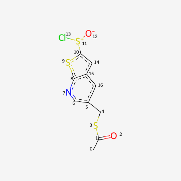 CC(=O)SCc1cnc2sc([S+]([O-])Cl)cc2c1